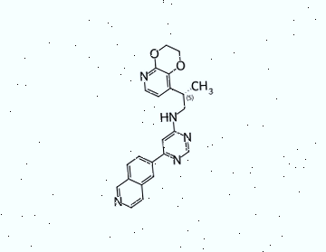 C[C@H](CNc1cc(-c2ccc3cnccc3c2)ncn1)c1ccnc2c1OCCO2